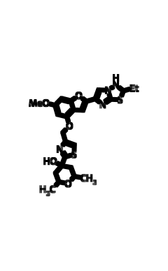 CCC1Nn2cc(-c3cc4c(OCc5csc(C6(O)CC(C)OC(C)C6)n5)cc(OC)cc4o3)nc2S1